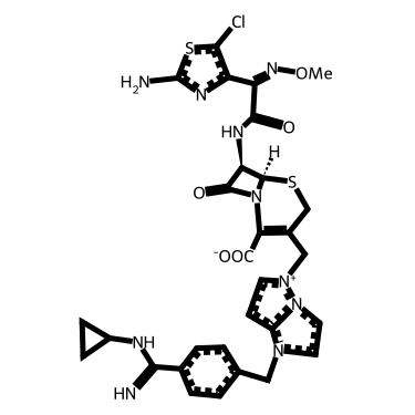 CO/N=C(\C(=O)N[C@@H]1C(=O)N2C(C(=O)[O-])=C(C[n+]3ccc4n(Cc5ccc(C(=N)NC6CC6)cc5)ccn43)CS[C@H]12)c1nc(N)sc1Cl